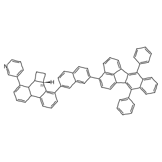 C1=CC2c3cccc(-c4ccc5ccc(-c6ccc7c8c(cccc68)-c6c-7c(-c7ccccc7)c7ccccc7c6-c6ccccc6)cc5c4)c3[C@H]3CCC3C2C(c2cccnc2)=C1